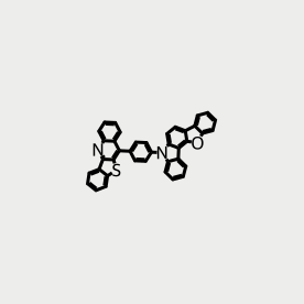 c1ccc2c(-c3ccc(-n4c5ccccc5c5c6oc7ccccc7c6ccc54)cc3)c3sc4ccccc4c3nc2c1